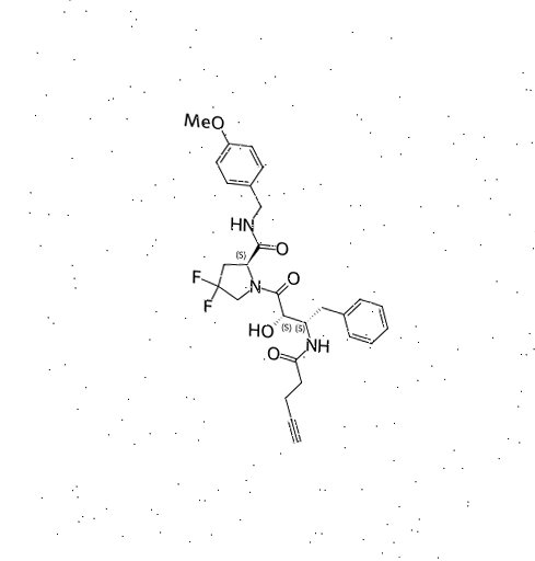 C#CCCC(=O)N[C@@H](Cc1ccccc1)[C@H](O)C(=O)N1CC(F)(F)C[C@H]1C(=O)NCc1ccc(OC)cc1